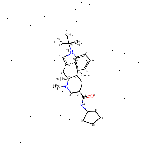 CN1C[C@H](C(=O)NC2CCCC2)C[C@@H]2c3cccc4c3c(cn4C(C)(C)C)C[C@H]21